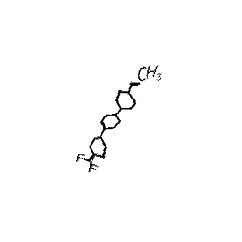 C/C=C/C1CCC(C2CC=C(C3CCC(C(F)F)CC3)CC2)CC1